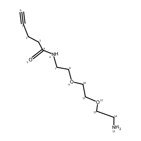 C#CCCC(=O)NCCOCCOCCN